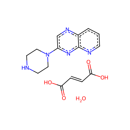 O.O=C(O)/C=C/C(=O)O.c1cnc2nc(N3CCNCC3)cnc2c1